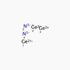 [Ge+2].[Ge+2].[Ge+2].[N-3].[N-3]